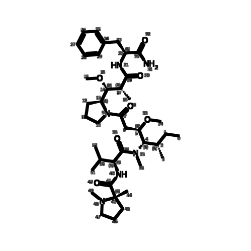 CC[C@H](C)[C@@H]([C@@H](CC(=O)N1CCC[C@H]1[C@H](OC)[C@@H](C)C(=O)N[C@@H](Cc1ccccc1)C(N)=O)OC)N(C)C(=O)[C@@H](NC(=O)[C@]1(C)CCCN1C)C(C)C